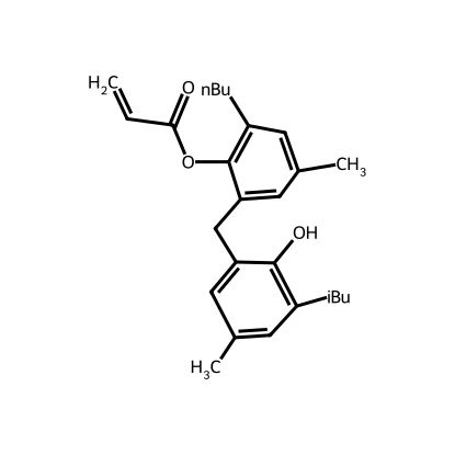 C=CC(=O)Oc1c(CCCC)cc(C)cc1Cc1cc(C)cc(C(C)CC)c1O